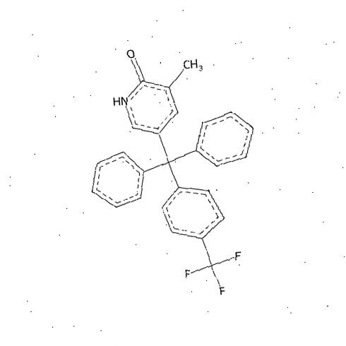 Cc1cc(C(c2ccccc2)(c2ccccc2)c2ccc(C(F)(F)F)cc2)c[nH]c1=O